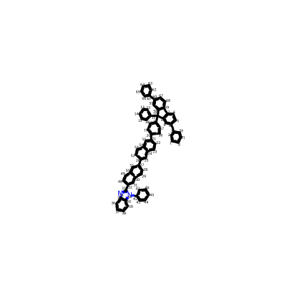 c1ccc(-c2ccc3c(c2)C(c2ccccc2)(c2ccc(-c4ccc5cc(-c6ccc7cc(-c8nc9ccccc9n8-c8ccccc8)ccc7c6)ccc5c4)cc2)c2cc(-c4ccccc4)ccc2-3)cc1